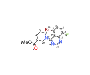 COC(=O)C1CCCN(c2ncnc3c(F)ccc(Br)c23)C1